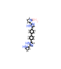 BN1CCC[C@@H]1c1ncc(-c2ccc(-c3ccc(-c4cnc([C@@H]5CCCN5)[nH]4)cc3)cc2)[nH]1